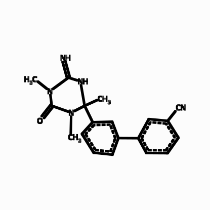 CN1C(=N)NC(C)(c2cccc(-c3cccc(C#N)c3)c2)N(C)C1=O